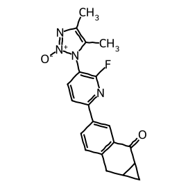 Cc1n[n+]([O-])n(-c2ccc(-c3ccc4c(c3)C(=O)C3CC3C4)nc2F)c1C